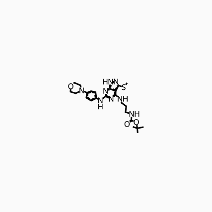 CSc1n[nH]c2nc(Nc3ccc(N4CCOCC4)cc3)nc(NCCCNC(=O)OC(C)(C)C)c12